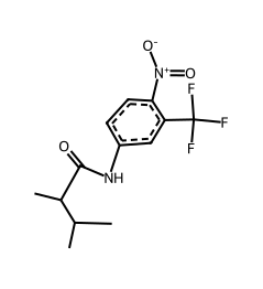 CC(C)C(C)C(=O)Nc1ccc([N+](=O)[O-])c(C(F)(F)F)c1